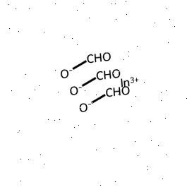 O=C[O-].O=C[O-].O=C[O-].[In+3]